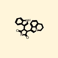 O=C1[N]C(=O)C(c2cn3c4c(cccc24)CCC3)C1c1c[nH]c2ccccc12